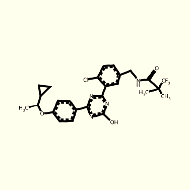 C[C@H](Oc1ccc(-c2nc(O)nc(-c3cc(CNC(=O)C(C)(C)C(F)(F)F)ccc3Cl)n2)cc1)C1CC1